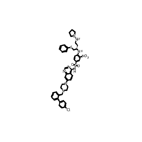 O=[N+]([O-])c1cc(S(=O)(=O)Nc2ncnc3cc(N4CCN(Cc5ccccc5-c5ccc(Cl)cc5)CC4)ccc23)ccc1N[C@H](CCNN1CCCC1)CSc1ccccc1